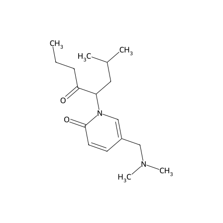 CCCC(=O)C(CC(C)C)n1cc(CN(C)C)ccc1=O